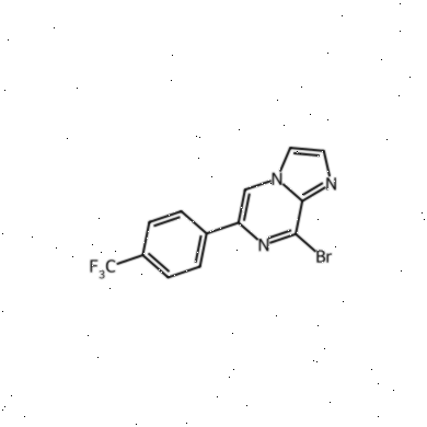 FC(F)(F)c1ccc(-c2cn3ccnc3c(Br)n2)cc1